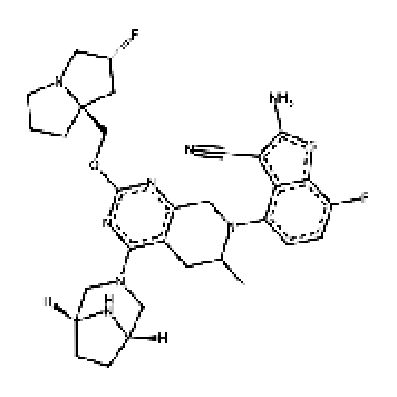 CC1Cc2c(nc(OC[C@@]34CCCN3C[C@H](F)C4)nc2N2C[C@H]3CC[C@@H](C2)N3)CN1c1ccc(F)c2sc(N)c(C#N)c12